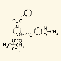 Cc1nc2ccc(OCC[C@@H]3CN(C(=O)OCc4ccccc4)CCN3C(=O)OC(C)(C)C)cc2o1